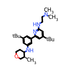 C[C@H]1COCCC1Nc1cc(-c2cc(C(C)(C)C)cc(NCCN(C)C)n2)cc(C(C)(C)C)c1